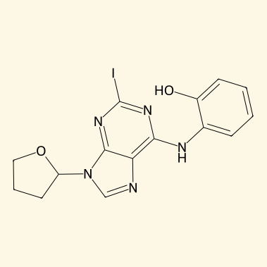 Oc1ccccc1Nc1nc(I)nc2c1ncn2C1CCCO1